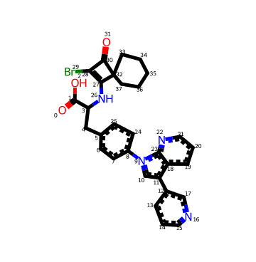 O=C(O)C(Cc1ccc(-n2cc(-c3cccnc3)c3cccnc32)cc1)NC1=C(Br)C(=O)C12CCCCC2